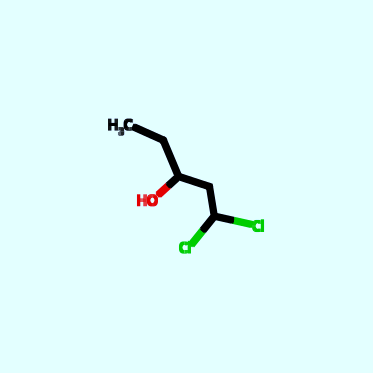 CCC(O)CC(Cl)Cl